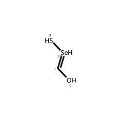 OC=[SeH]S